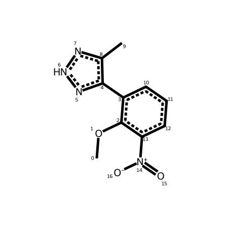 COc1c(-c2n[nH]nc2C)cccc1[N+](=O)[O-]